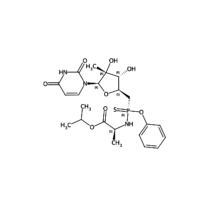 CC(C)OC(=O)[C@H](C)N[P@](=S)(C[C@H]1O[C@@H](n2ccc(=O)[nH]c2=O)[C@](C)(O)[C@@H]1O)Oc1ccccc1